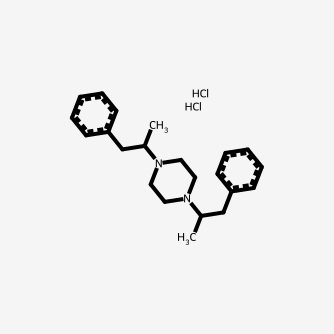 CC(Cc1ccccc1)N1CCN(C(C)Cc2ccccc2)CC1.Cl.Cl